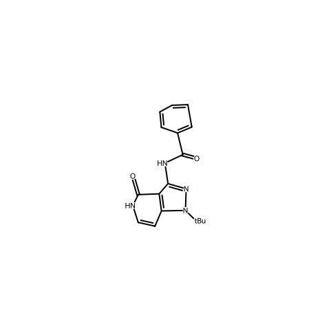 CC(C)(C)n1nc(NC(=O)c2ccccc2)c2c(=O)[nH]ccc21